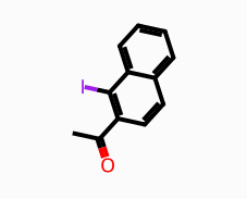 CC(=O)c1ccc2ccccc2c1I